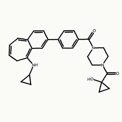 O=C(c1ccc(-c2ccc3c(c2)=C(NC2CC2)CC=CC=3)cc1)N1CCN(C(=O)C2(O)CC2)CC1